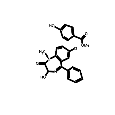 CN1C(=O)C(O)N=C(c2ccccc2)c2cc(Cl)ccc21.COC(=O)c1ccc(O)cc1